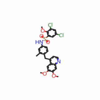 COc1cc2nccc(Cc3ccc(NS(=O)(=O)c4cc(Cl)cc(Cl)c4OC)cc3C)c2cc1OC